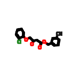 N#Cc1cccc(COC(=O)CC(=O)COc2ccccc2Cl)c1